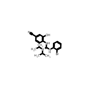 CC(C)[N+](=C(Nc1ccc(C#N)cc1O)Nc1ccccc1Br)C(C)C